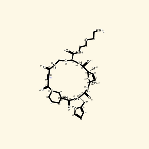 NCCOCCNC(=O)[C@@H]1CCNC(=O)/C=C/C(=O)N2CCC[C@H](C2)C(=O)N[C@@H](Cc2ccco2)C(=O)N[C@@H]2C=C[C@@H](C2)C(=O)N1